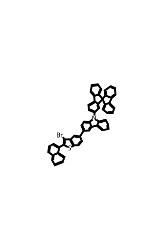 Brc1c(-c2cccc3ccccc23)sc2ccc(-c3ccc4c(c3)c3ccccc3n4-c3ccc4c(c3)C3(c5ccccc5-c5ccccc53)c3ccccc3-4)cc12